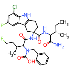 CC[C@H](C)[C@H](NC(=O)[C@@]1(NC(=O)C(C(C)CCF)N(Cc2ccccc2)C(=O)O)CCc2[nH]c3c(Cl)cc(F)cc3c2C1)C(N)=O